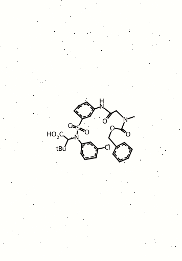 CN(CC(=O)Nc1cccc(S(=O)(=O)N(c2cccc(Cl)c2)C(C(=O)O)C(C)(C)C)c1)C(=O)OCc1ccccc1